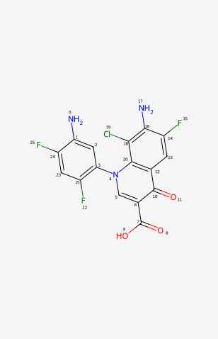 Nc1cc(-n2cc(C(=O)O)c(=O)c3cc(F)c(N)c(Cl)c32)c(F)cc1F